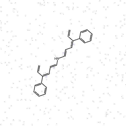 C=C/C(=C\C=C\N/C=C/C=C(\C=C)c1ccccc1)c1ccccc1